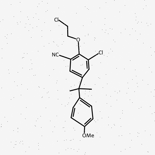 COc1ccc(C(C)(C)c2cc(Cl)c(OCCCl)c(C#N)c2)cc1